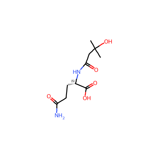 CC(C)(O)CC(=O)N[C@@H](CCC(N)=O)C(=O)O